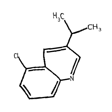 CC(C)c1cnc2cccc(Cl)c2c1